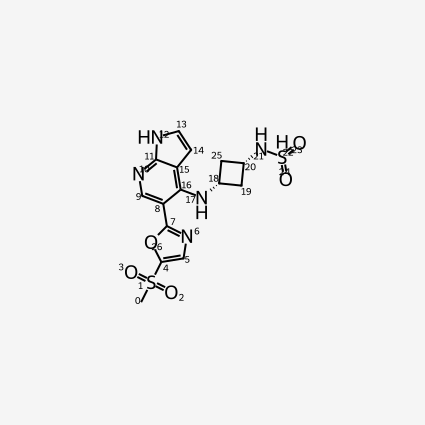 CS(=O)(=O)c1cnc(-c2cnc3[nH]ccc3c2N[C@H]2C[C@@H](N[SH](=O)=O)C2)o1